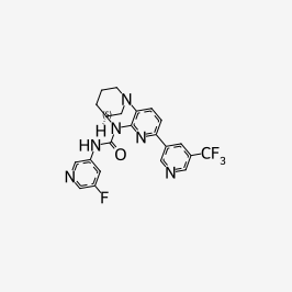 O=C(Nc1cncc(F)c1)N1c2nc(-c3cncc(C(F)(F)F)c3)ccc2N2CCC[C@H]1C2